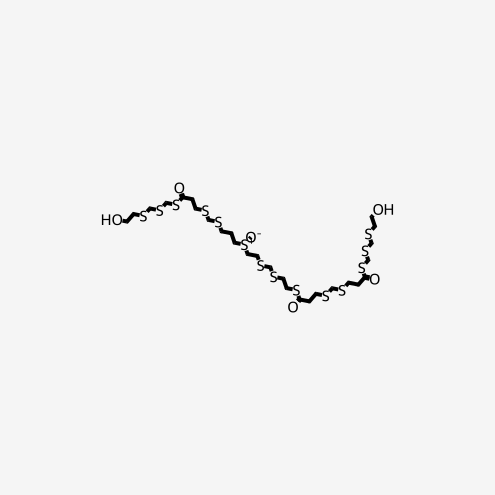 O=C(CCSCSCCC(=O)SCSCSCCO)SCCSCSCC[S+]([O-])CCCSCSCCC(=O)SCSCSCCO